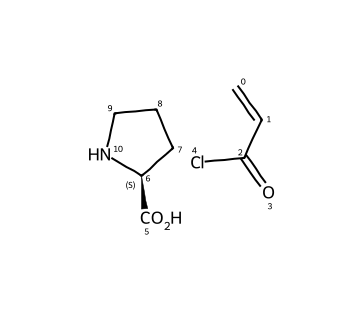 C=CC(=O)Cl.O=C(O)[C@@H]1CCCN1